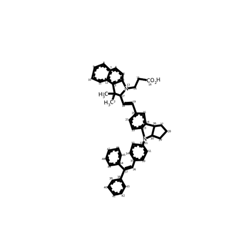 CC1(C)c2c(ccc3ccccc23)N(CCC(=O)O)C1/C=C/c1ccc2c(c1)C1CCCC1N2c1ccc(C=C(c2ccccc2)c2ccccc2)cc1